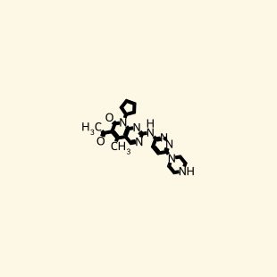 CC(=O)c1c(C)c2cnc(Nc3ccc(N4CCNCC4)nn3)nc2n(C2CCCC2)c1=O